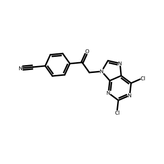 N#Cc1ccc(C(=O)Cn2cnc3c(Cl)nc(Cl)nc32)cc1